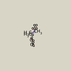 C/C(=C\C=C1/CC(C)(C)c2cc(-c3ccc4oc5c6cc7oc8ccccc8c7cc6ccc5c4c3)ccc21)c1c2ccccc2c(-c2cccc3ccccc23)c2ccccc12